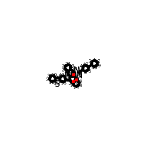 c1ccc(-c2ccc(-c3nc(-c4ccccc4)nc(-c4ccccc4-n4c5ccccc5c5cc6sc7ccccc7c6cc54)n3)cc2)cc1